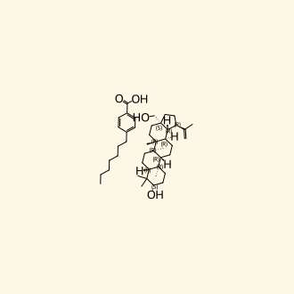 C=C(C)[C@@H]1CC[C@]2(CO)CC[C@]3(C)[C@H](CC[C@@H]4[C@@]5(C)CC[C@H](O)C(C)(C)[C@@H]5CC[C@]43C)[C@@H]12.CCCCCCCc1ccc(C(=O)O)cc1